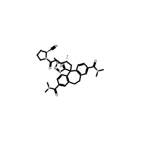 C[C@H](CC1(c2nnn(C)n2)c2ccc(C(=O)N(C)C)cc2CCc2cc(C(=O)N(C)C)ccc21)NCC(=O)N1CCC[C@H]1C#N